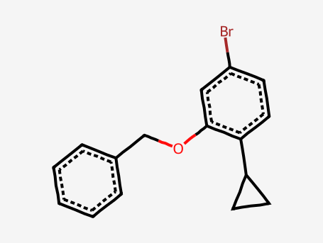 Brc1ccc(C2CC2)c(OCc2ccccc2)c1